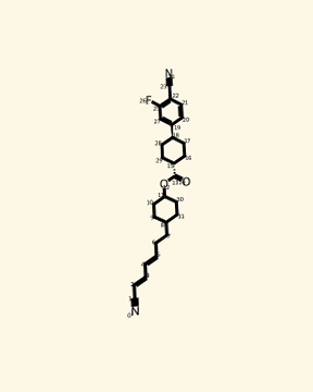 N#CC=C/C=C/CCC1CCC(OC(=O)[C@H]2CC[C@H](c3ccc(C#N)c(F)c3)CC2)CC1